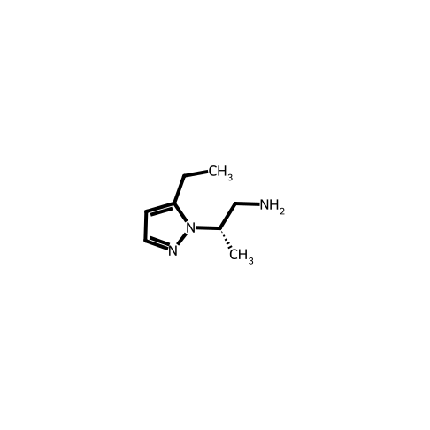 CCc1ccnn1[C@@H](C)CN